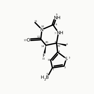 Bc1csc([C@@]2(C)NC(=N)N(C)C(=O)[C@@H]2F)c1